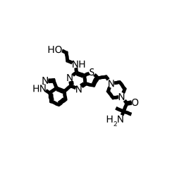 CC(C)(N)C(=O)N1CCN(Cc2cc3nc(-c4cccc5[nH]ncc45)nc(NCCO)c3s2)CC1